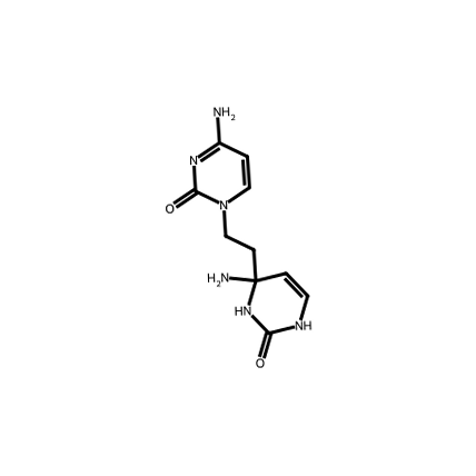 Nc1ccn(CCC2(N)C=CNC(=O)N2)c(=O)n1